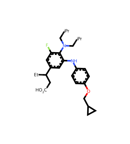 CCC(CC(=O)O)c1cc(F)c(N(CC(C)C)CC(C)C)c(Nc2ccc(OCC3CC3)cc2)c1